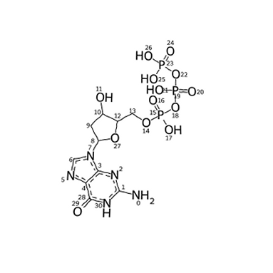 Nc1nc2c(ncn2C2CC(O)C(COP(=O)(O)OP(=O)(O)OP(=O)(O)O)O2)c(=O)[nH]1